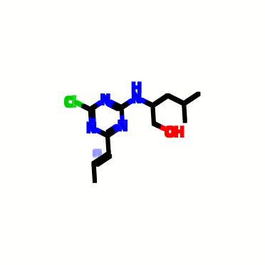 C/C=C/c1nc(Cl)nc(NC(CO)CC(C)C)n1